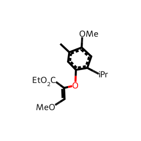 CCOC(=O)/C(=C\OC)Oc1cc(C)c(OC)cc1C(C)C